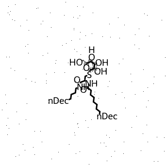 CCCCCCCCCCCCCCCCCC(=O)NC(CS[C@@H]1O[C@H](CO)[C@H](O)[C@H](O)[C@H]1O)C(=O)NCCCCCCCCCCCCCC